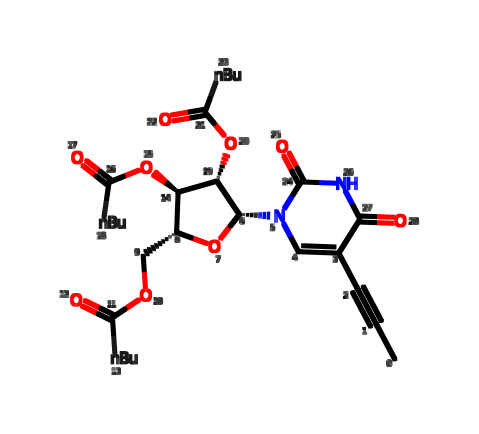 CC#Cc1cn([C@@H]2O[C@H](COC(=O)CCCC)[C@@H](OC(=O)CCCC)[C@@H]2OC(=O)CCCC)c(=O)[nH]c1=O